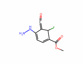 COC(=O)C1=CC=C(NN)C(=C=O)C1F